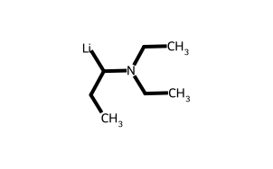 [Li][CH](CC)N(CC)CC